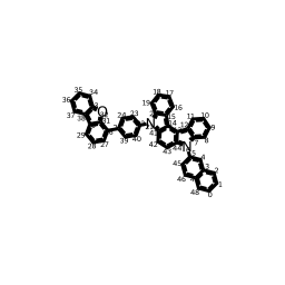 c1ccc2cc(-n3c4ccccc4c4c5c6ccccc6n(-c6ccc(-c7cccc8c7oc7ccccc78)cc6)c5ccc43)ccc2c1